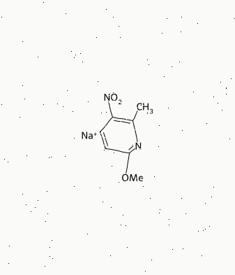 COc1ccc([N+](=O)[O-])c(C)n1.[Na+]